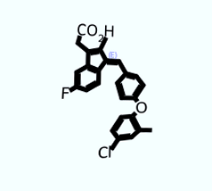 CC1=C(CC(=O)O)c2cc(F)ccc2/C1=C\c1ccc(Oc2ccc(Cl)cc2C)cc1